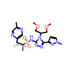 COCC(COC)n1c(NS(=O)(=O)[C@@H](C)[C@H](C)c2cnc(C)cn2)nnc1-c1ccn(C)n1